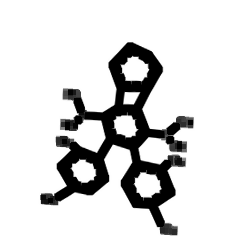 CC(C)(C)c1ccc(-c2c(-c3ccc(C(C)(C)C)cc3C(C)(C)C)c(P(O)O)c3c(c2P(O)O)-c2ccccc2-3)c(C(C)(C)C)c1